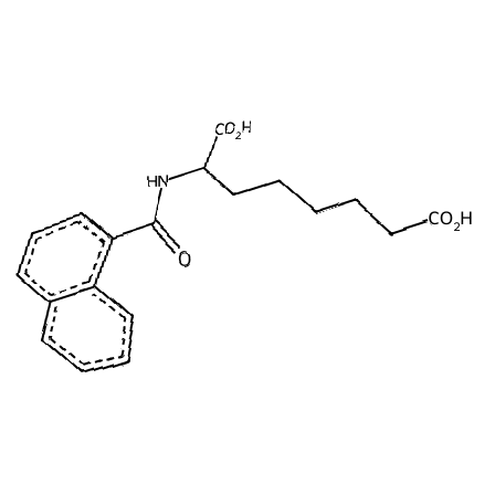 O=C(O)CCCCCC(NC(=O)c1cccc2ccccc12)C(=O)O